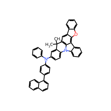 CC1(C)c2cc(N(c3ccccc3)c3ccc(-c4cccc5ccccc45)cc3)ccc2-n2c3ccccc3c3c4oc5ccccc5c4cc1c32